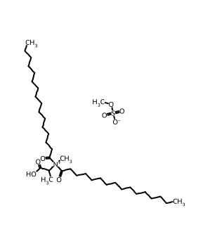 CCCCCCCCCCCCCCCC(=O)[N+](C)(C(=O)CCCCCCCCCCCCCCC)C(C)C(=O)O.COS(=O)(=O)[O-]